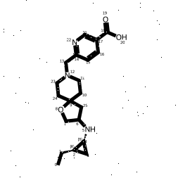 CC[C@@H]1C[C@H]1NC1COC2(CCN(Cc3ccc(C(=O)O)cn3)CC2)C1